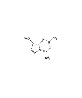 COn1cnc2c(N)nc(N)nc21